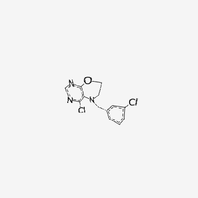 Clc1cccc(CN2CCOc3ncnc(Cl)c32)c1